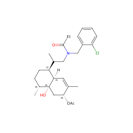 CCC(=O)N(Cc1ccccc1Cl)CC(C)[C@@H]1CC[C@@H](C)[C@]2(O)[CH][C@@H](OC(C)=O)C(C)=C[C@H]12